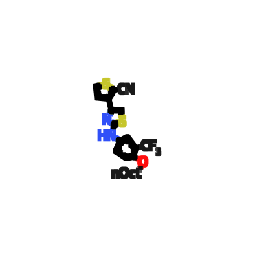 CCCCCCCCOc1ccc(Nc2nc(-c3ccsc3C#N)cs2)cc1C(F)(F)F